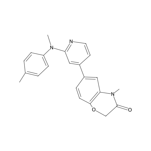 Cc1ccc(N(C)c2cc(-c3ccc4c(c3)N(C)C(=O)CO4)ccn2)cc1